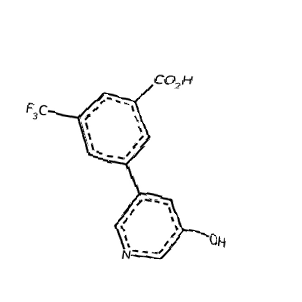 O=C(O)c1cc(-c2cncc(O)c2)cc(C(F)(F)F)c1